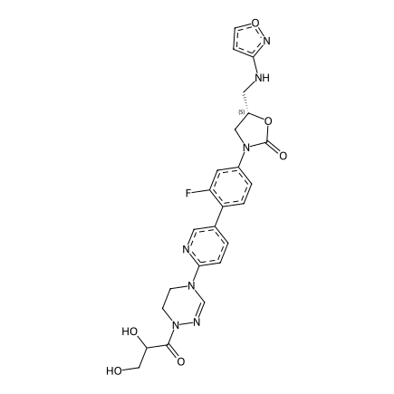 O=C(C(O)CO)N1CCN(c2ccc(-c3ccc(N4C[C@H](CNc5ccon5)OC4=O)cc3F)cn2)C=N1